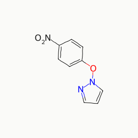 O=[N+]([O-])c1ccc(On2cccn2)cc1